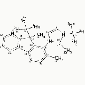 [2H]C([2H])([2H])N1C=CN(c2c(C)ccc3c2C(C)(C([2H])([2H])[2H])c2ncccc2-3)[C@H]1C